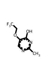 Cc1ncc(OCC(F)(F)F)c(O)n1